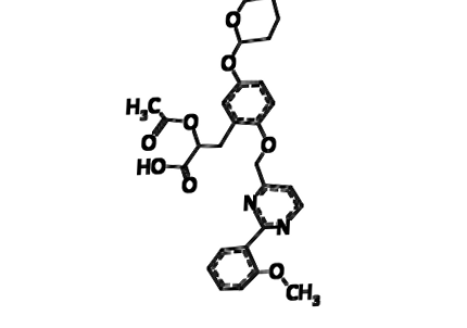 COc1ccccc1-c1nccc(COc2ccc(OC3CCCCO3)cc2CC(OC(C)=O)C(=O)O)n1